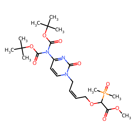 COC(=O)C(OC/C=C\Cn1ccc(N(C(=O)OC(C)(C)C)C(=O)OC(C)(C)C)nc1=O)P(C)(C)=O